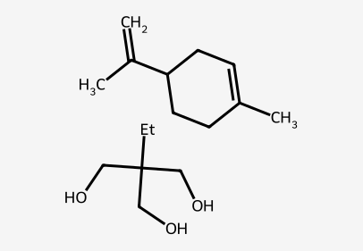 C=C(C)C1CC=C(C)CC1.CCC(CO)(CO)CO